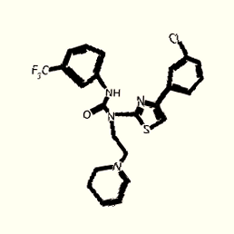 O=C(Nc1cccc(C(F)(F)F)c1)N(CCN1CCCCC1)c1nc(-c2cccc(Cl)c2)cs1